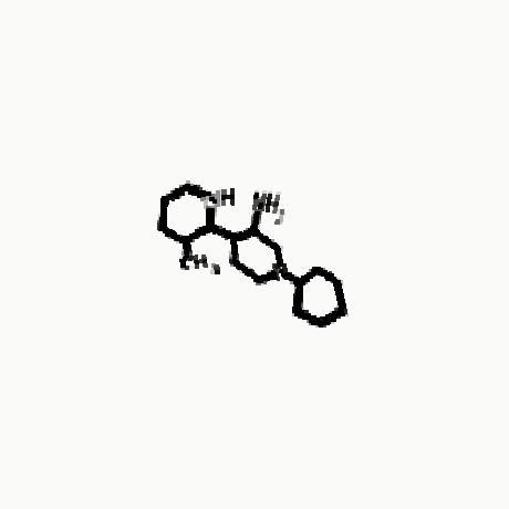 CC1CCCNC1C1CCN(C2CCCCC2)CC1N